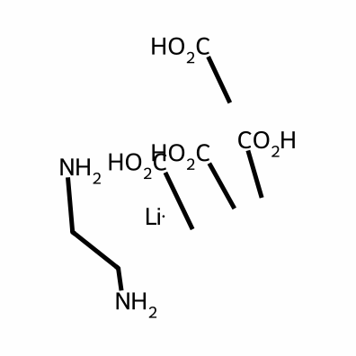 CC(=O)O.CC(=O)O.CC(=O)O.CC(=O)O.NCCN.[Li]